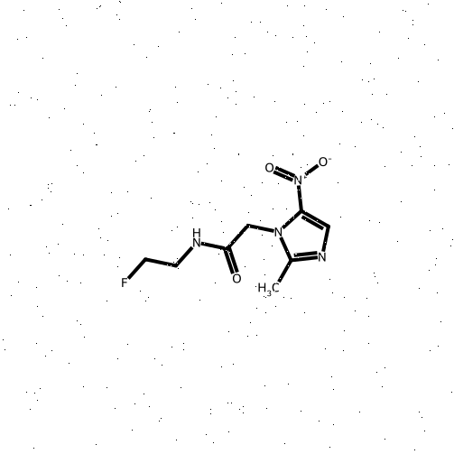 Cc1ncc([N+](=O)[O-])n1CC(=O)NCCF